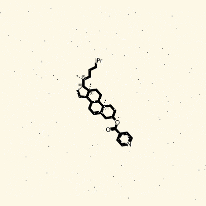 CC(C)CCC[C@@H](C)[C@H]1CCC2C3CC=C4CC(OC(=O)c5ccncc5)CC[C@]4(C)C3CC[C@@]21C